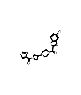 O=C(c1cscn1)N1CC(N2CCN(C(=O)c3nc4cc(Cl)ccc4s3)CC2)C1